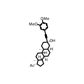 COc1ccc(C#C[C@]2(O)CC[C@@]3(C)[C@H](CC[C@@H]4[C@@H]3CC[C@]3(C)[C@@H](C(C)=O)CC[C@@H]43)C2)cc1OC